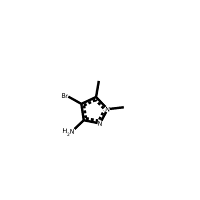 Cc1c(Br)c(N)nn1C